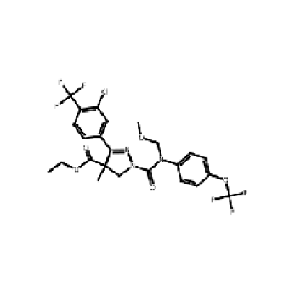 CCOC(=O)C1(C)CN(C(=O)N(COC)c2ccc(OC(F)(F)F)cc2)N=C1c1ccc(C(F)(F)F)c(Cl)c1